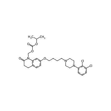 CC(C)OC(=O)OCN1C(=O)CCc2ccc(OCCCCN3CCN(c4cccc(Cl)c4Cl)CC3)cc21